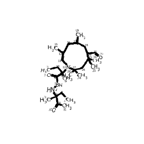 CCC(C)(NBC(=O)C(C)(CC)N1CC(C)CC(C)CC(C=O)C(C)(C)CC1(C)C)C(C)=O